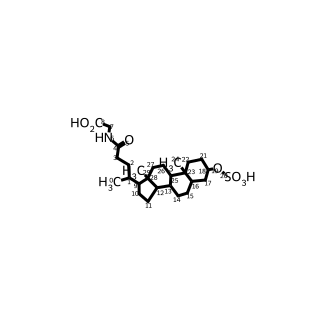 CC(CCC(=O)NCC(=O)O)C1CCC2C3CCC4CC(OS(=O)(=O)O)CCC4(C)C3CCC12C